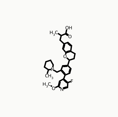 COc1cc(-c2ccc(C3CCc4ccc(CC(C)C(=O)O)cc4O3)cc2CN2CCCCC2C)c(F)cn1